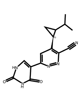 CC(C)C1C[C@@H]1c1cc(-c2c[nH]c(=O)[nH]c2=O)nnc1C#N